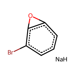 Brc1cccc2c1O2.[NaH]